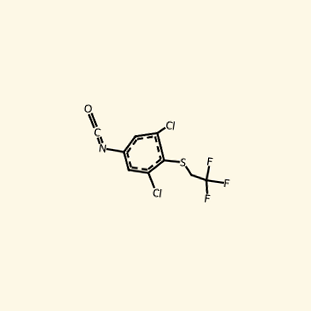 O=C=Nc1cc(Cl)c(SCC(F)(F)F)c(Cl)c1